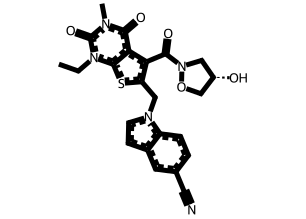 CCn1c(=O)n(C)c(=O)c2c(C(=O)N3C[C@H](O)CO3)c(Cn3ccc4cc(C#N)ccc43)sc21